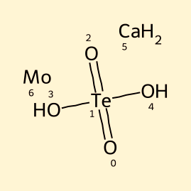 O=[Te](=O)(O)O.[CaH2].[Mo]